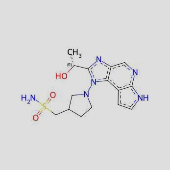 C[C@@H](O)c1nc2cnc3[nH]ccc3c2n1N1CCC(CS(N)(=O)=O)C1